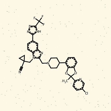 CC1(c2ccc(Cl)cn2)Oc2cccc(C3CCN(Cc4nc5cc(-c6nnc(C(F)(F)F)[nH]6)ccc5n4CC4(C#N)CC4)CC3)c2O1